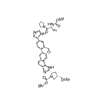 COC[C@H]1C[C@@H](c2nc3ccc4cc5c(cc4c3[nH]2)OCc2cc(-c3cnc([C@@H]4CCCN4C(=O)[C@@H](NC(=O)OC)C(C)C)[nH]3)ccc2-5)N(C(=O)OC(C)(C)C)C1